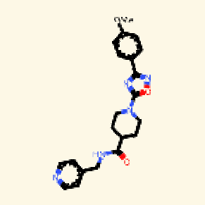 COc1ccc(-c2noc(N3CCC(C(=O)NCc4ccncc4)CC3)n2)cc1